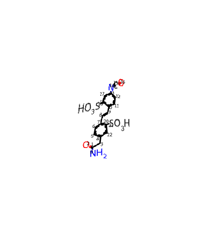 NC(=O)Cc1ccc(C=Cc2ccc(N=C=O)cc2S(=O)(=O)O)c(S(=O)(=O)O)c1